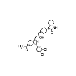 CC(=O)N1CCc2c(c(-c3ccc(Cl)c(Cl)c3)nn2CC(O)CN2CCC(N3C(=O)NC4CCCCC43)CC2)C1